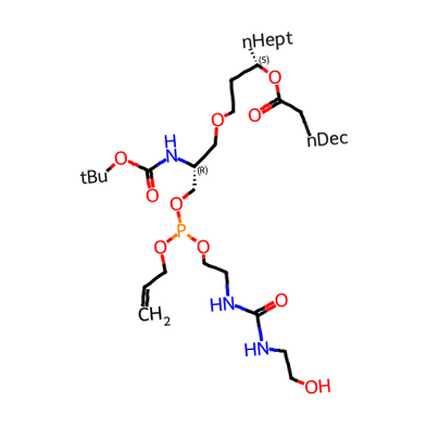 C=CCOP(OCCNC(=O)NCCO)OC[C@@H](COCC[C@H](CCCCCCC)OC(=O)CCCCCCCCCCC)NC(=O)OC(C)(C)C